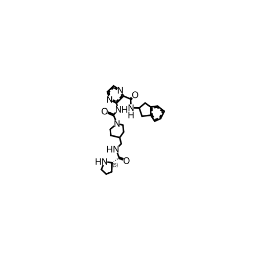 O=C(NC1Cc2ccccc2C1)c1nccnc1NC(=O)N1CCC(CNC(=O)[C@@H]2CCCN2)CC1